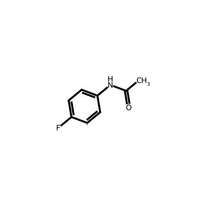 CC(=O)Nc1c[c]c(F)cc1